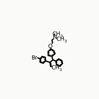 CC=C(c1ccc(Br)cc1)C(c1ccccc1)c1ccc(OCCN(C)C)cc1